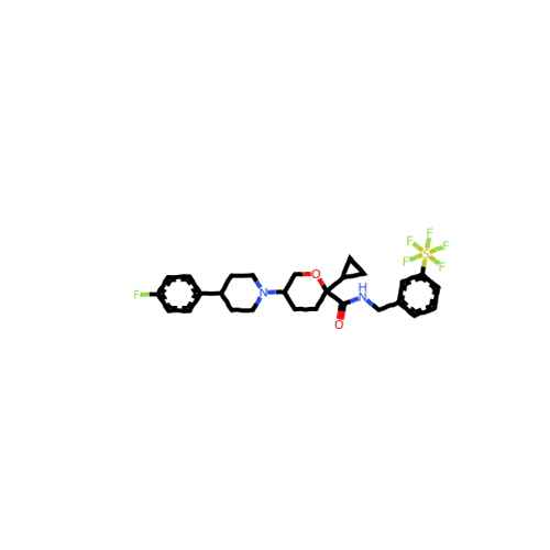 O=C(NCc1cccc(S(F)(F)(F)(F)F)c1)C1(C2CC2)CCC(N2CCC(c3ccc(F)cc3)CC2)CO1